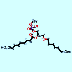 CCCCCCCCCCCCCCCCOC[C@H](COP(=O)(O)OCCC)OC(=O)CCCCCCCC(=O)O